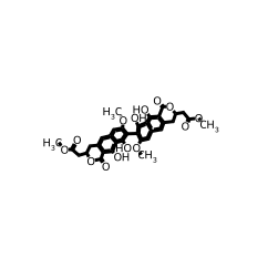 COC(=O)CC1Cc2cc3cc(OC)c(-c4c(OC)cc5cc6c(c(O)c5c4O)C(=O)OC(CC(=O)OC)C6)c(O)c3c(O)c2C(=O)O1